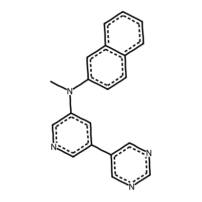 CN(c1cncc(-c2cncnc2)c1)c1ccc2ccccc2c1